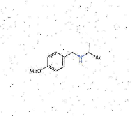 COc1ccc(CNC(C)C(C)=O)cc1